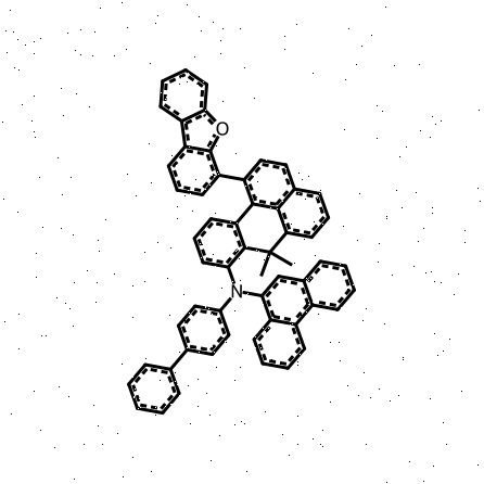 CC1(C)c2c(cccc2N(c2ccc(-c3ccccc3)cc2)c2cc3ccccc3c3ccccc23)-c2c(-c3cccc4c3oc3ccccc34)ccc3cccc1c23